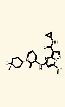 CNc1cc(Nc2cccn([C@H]3CC[C@@](C)(O)CC3)c2=O)nc2c(C(=O)NC3CC3)cnn12